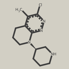 Cc1c(Cl)nnc2c1CCCN2[C@@H]1CCCNC1